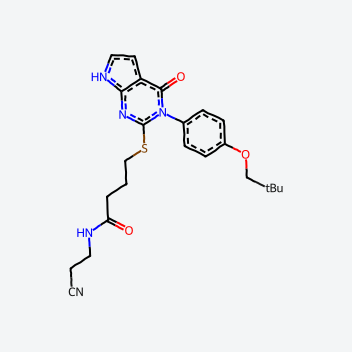 CC(C)(C)COc1ccc(-n2c(SCCCC(=O)NCCC#N)nc3[nH]ccc3c2=O)cc1